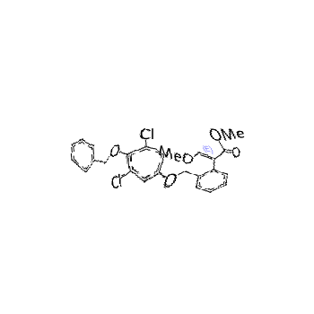 CO/C=C(/C(=O)OC)c1ccccc1COc1cc(Cl)c(OCc2ccccc2)c(Cl)c1